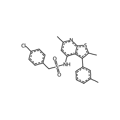 Cc1cccc(-c2c(C)sc3nc(C)cc(NS(=O)(=O)Cc4ccc(Cl)cc4)c23)c1